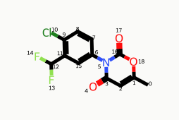 Cc1cc(=O)n(-c2ccc(Cl)c(C(F)F)c2)c(=O)o1